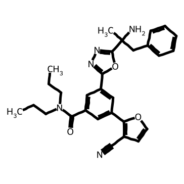 CCCN(CCC)C(=O)c1cc(-c2nnc(C(C)(N)Cc3ccccc3)o2)cc(-c2occc2C#N)c1